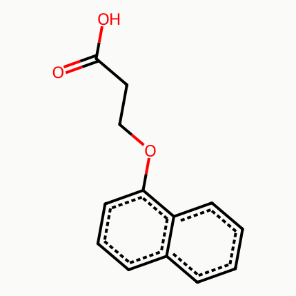 O=C(O)CCOc1cccc2ccccc12